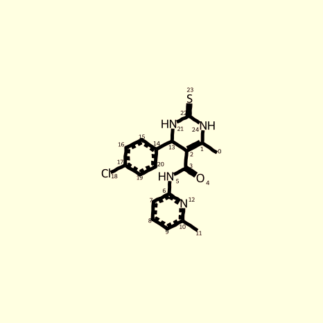 CC1=C(C(=O)Nc2cccc(C)n2)C(c2ccc(Cl)cc2)NC(=S)N1